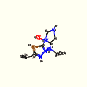 CCCCCCCCNC1CN(C)C[N+]1([O-])c1nnc(C(C)(C)C)s1